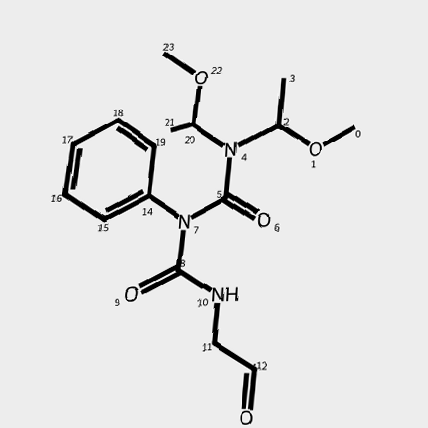 COC(C)N(C(=O)N(C(=O)NC[C]=O)c1ccccc1)C(C)OC